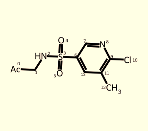 CC(=O)CNS(=O)(=O)c1cnc(Cl)c(C)c1